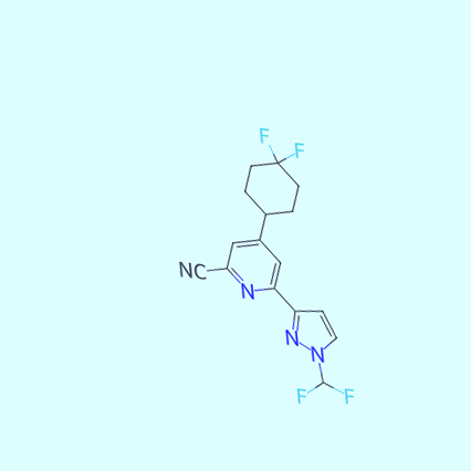 N#Cc1cc(C2CCC(F)(F)CC2)cc(-c2ccn(C(F)F)n2)n1